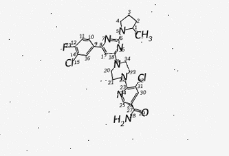 CC1CCCN1c1nc(-c2ccc(F)c(Cl)c2)cc(N2CCN(c3ncc(C(N)=O)cc3Cl)CC2)n1